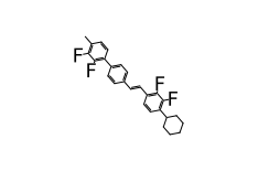 Cc1ccc(-c2ccc(/C=C/c3ccc(C4CCCCC4)c(F)c3F)cc2)c(F)c1F